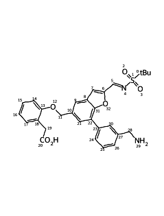 CC(C)(C)S(=O)(=O)N=Cc1cc2cc(COc3ccccc3CC(=O)O)cc(-c3cccc(CN)c3)c2o1